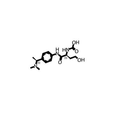 C[C@@H](c1ccc(NC(=O)[C@H](CCO)NC(=O)O)cc1)N(C)C